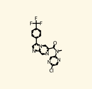 CN(C(=O)c1cn2c(-c3ccc(C(F)(F)F)cc3)cnc2cn1)c1cnc(Cl)cn1